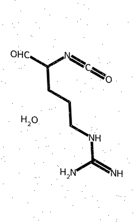 N=C(N)NCCCC(C=O)N=C=O.O